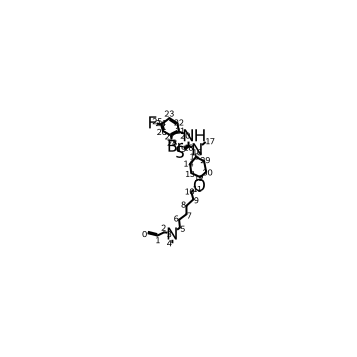 C=CCN(C)CCCCCCOC1CCC(N(C)C(=S)Nc2ccc(F)cc2Br)CC1